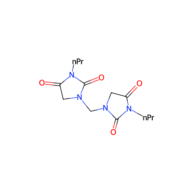 CCCN1C(=O)CN(CN2CC(=O)N(CCC)C2=O)C1=O